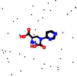 N[C@@H](CN(C(=O)O)c1ccncn1)C(=O)O